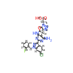 CC1(c2cn(C(C)(C)C(=O)O)nn2)C(=O)Nc2nc(-c3nn(Cc4ccccc4F)c4cc(Cl)ccc34)nc(N)c21